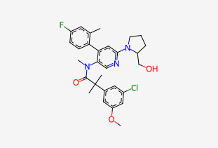 COc1cc(Cl)cc(C(C)(C)C(=O)N(C)c2cnc(N3CCCC3CO)cc2-c2ccc(F)cc2C)c1